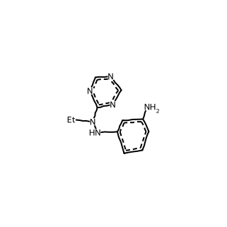 CCN(Nc1cccc(N)c1)c1ncncn1